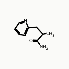 CC(Cc1ccccn1)C(N)=O